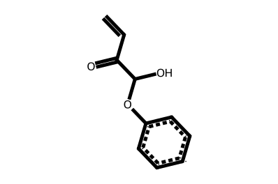 C=CC(=O)C(O)Oc1cc[c]cc1